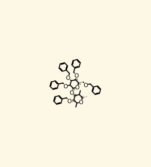 CC1[C@H](C)OC(C)[C@H](OCc2ccccc2)[C@@H]1O[C@H]1O[C@@H](COCc2ccccc2)[C@@H](OCc2ccccc2)C(OCc2ccccc2)C1OCc1ccccc1